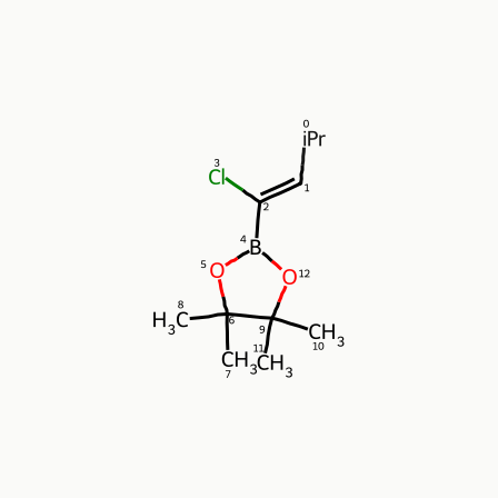 CC(C)C=C(Cl)B1OC(C)(C)C(C)(C)O1